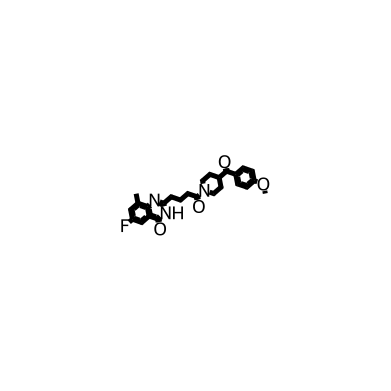 COc1ccc(C(=O)C2CCN(C(=O)CCCc3nc4c(C)cc(F)cc4c(=O)[nH]3)CC2)cc1